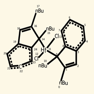 CCCCC1=Cc2ccccc2[C]1(CCCC)[Hf]([Cl])([Cl])[C]1(CCCC)C(CCCC)=Cc2ccccc21